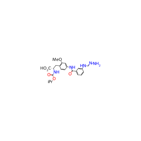 COc1cc(NC(=O)c2cccc(NC=NN)c2)ccc1C[C@H](NC(=O)OC(C)C)C(=O)O